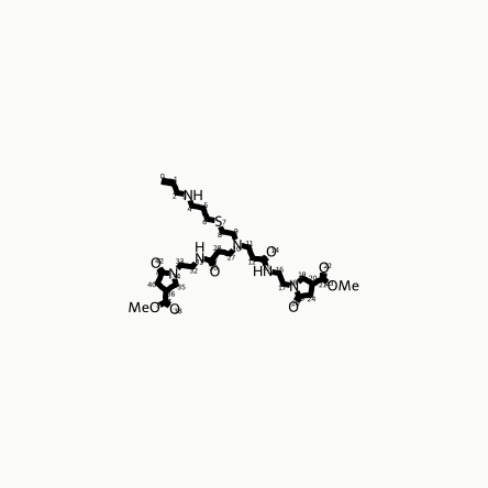 C=CCNCCCSCCN(CCC(=O)NCCN1CC(C(=O)OC)CC1=O)CCC(=O)NCCN1CC(C(=O)OC)CC1=O